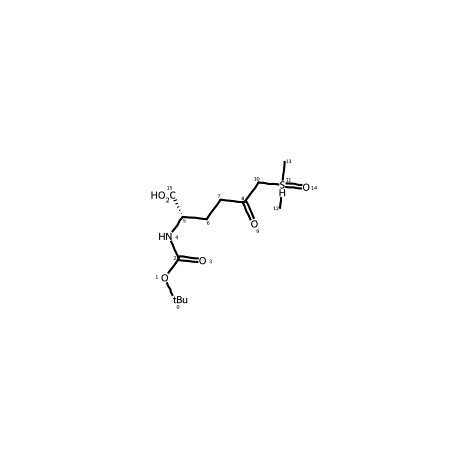 CC(C)(C)OC(=O)N[C@@H](CCC(=O)C[SH](C)(C)=O)C(=O)O